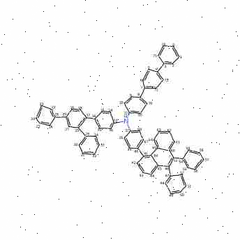 c1ccc(-c2ccc(-c3ccc(N(c4ccc(-c5ccc(-c6ccccc6)cc5-c5ccccc5)cc4)c4ccc(-c5cccc6c(-c7ccccc7)c(-c7ccccc7)c7ccccc7c56)cc4)cc3)cc2)cc1